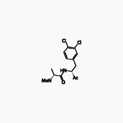 CN[C@H](C)C(=O)N[C@H](Cc1ccc(Cl)c(Cl)c1)C(C)=O